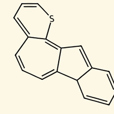 C1=CSC2=C3C=C4C=CC=CC4C3=CC=CC2=C1